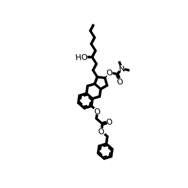 CCCCCC(O)CCC1C2Cc3cccc(OCC(=O)OCc4ccccc4)c3CC2C[C@H]1OC(=O)N(C)C